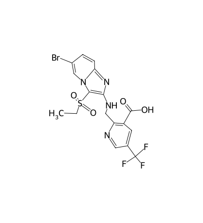 CCS(=O)(=O)c1c(NCc2ncc(C(F)(F)F)cc2C(=O)O)nc2ccc(Br)cn12